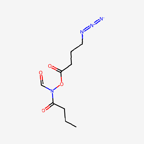 CCCC(=O)N(C=O)OC(=O)CCCN=[N+]=[N-]